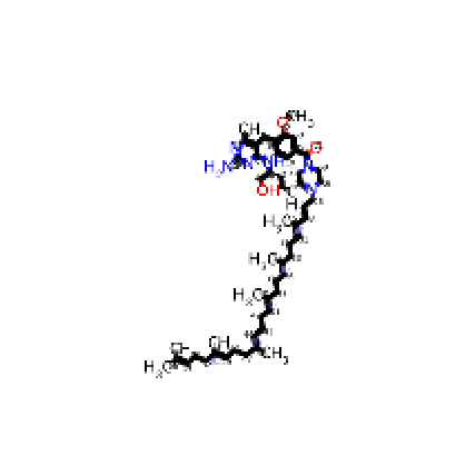 CCC[C@@H](CO)Nc1nc(N)nc(C)c1Cc1ccc(C(=O)N2CCN(CCC/C(C)=C/CC/C(C)=C/CC/C(C)=C/CC/C=C(\C)CC/C=C(\C)CCC=C(C)C)CC2)cc1OC